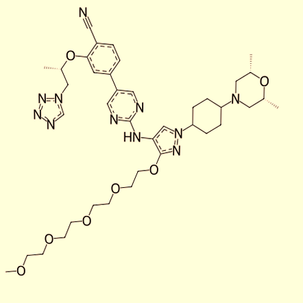 COCCOCCOCCOCCOc1nn(C2CCC(N3C[C@@H](C)O[C@@H](C)C3)CC2)cc1Nc1ncc(-c2ccc(C#N)c(O[C@@H](C)Cn3cnnn3)c2)cn1